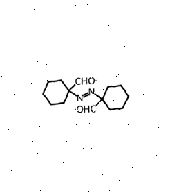 O=[C]C1(/N=N/C2([C]=O)CCCCC2)CCCCC1